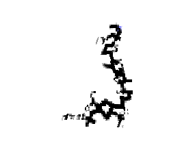 C/C=C\C(C)(CC(C)C)c1ccc(-c2sc3c(C)c(-c4ccc(C5=c6cc7c(cc6C(=O)O5)=C(C(C)(C)CCCCC)OC7=O)s4)sc3c2C)s1